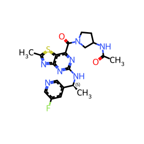 CC(=O)NC1CCN(C(=O)c2nc(N[C@@H](C)c3cncc(F)c3)nc3nc(C)sc23)C1